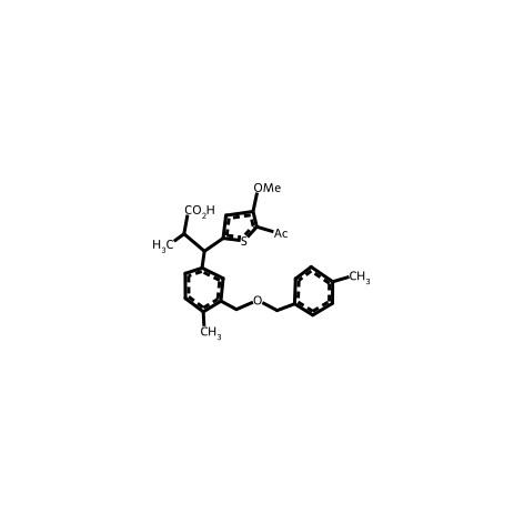 COc1cc(C(c2ccc(C)c(COCc3ccc(C)cc3)c2)C(C)C(=O)O)sc1C(C)=O